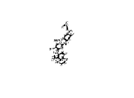 COc1cc(N(C)CCN(C)C)c(C)cc1Nc1ncc(Br)c(Nc2ccc3nccnc3c2P(C)(C)=O)n1